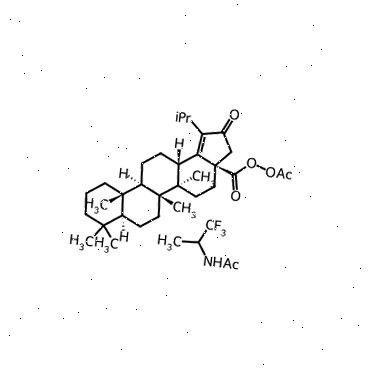 CC(=O)NC(C)C(F)(F)F.CC(=O)OOC(=O)[C@@]12CC[C@]3(C)[C@H](CC[C@@H]4[C@@]5(C)CCCC(C)(C)[C@@H]5CC[C@]43C)C1=C(C(C)C)C(=O)C2